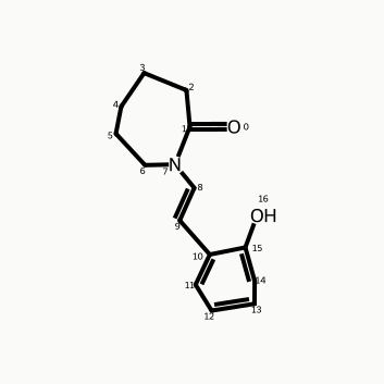 O=C1CCCCCN1C=Cc1ccccc1O